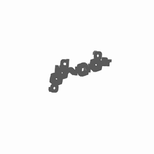 COc1ccc2nc(Cl)c(CCN3CCN(c4ccc(Br)c(OC)c4)CC3)cc2c1